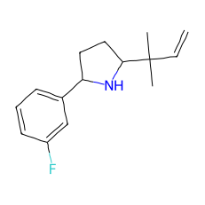 C=CC(C)(C)C1CCC(c2cccc(F)c2)N1